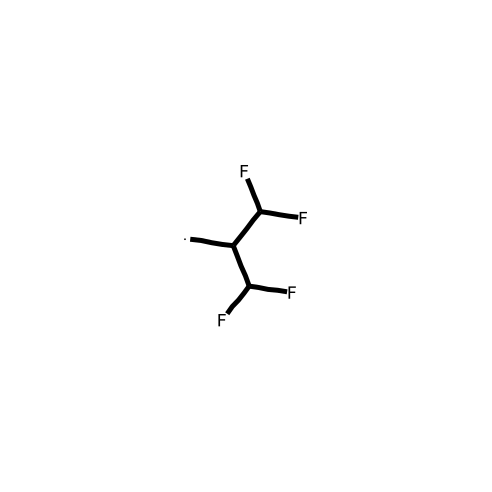 [CH2]C(C(F)F)C(F)F